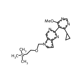 COc1ncnc(C2CC2)c1-c1ncc2c(ccn2COCC[Si](C)(C)C)n1